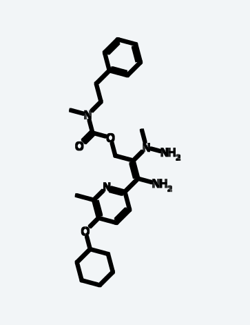 Cc1nc(/C(N)=C(\COC(=O)N(C)CCc2ccccc2)N(C)N)ccc1OC1CCCCC1